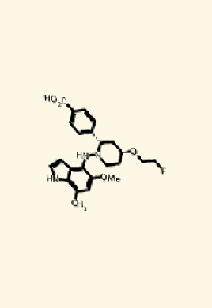 COc1cc(C)c2[nH]ccc2c1NN1CC[C@H](OCCF)C[C@H]1c1ccc(C(=O)O)cc1